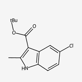 Cc1[nH]c2ccc(Cl)cc2c1C(=O)OC(C)(C)C